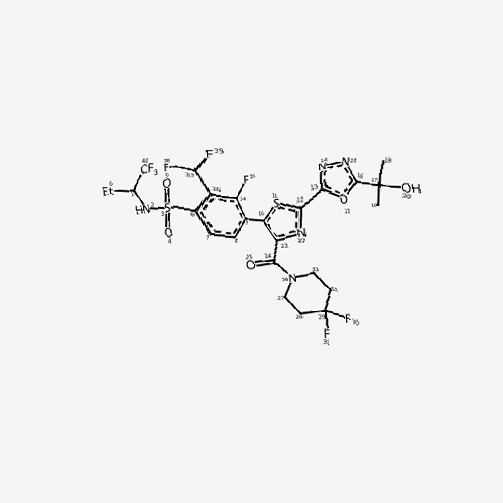 CCC(NS(=O)(=O)c1ccc(-c2sc(-c3nnc(C(C)(C)O)o3)nc2C(=O)N2CCC(F)(F)CC2)c(F)c1C(F)F)C(F)(F)F